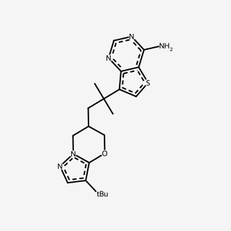 CC(C)(C)c1cnn2c1OCC(CC(C)(C)c1csc3c(N)ncnc13)C2